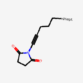 CCCCCCCCCCC#CN1C(=O)CCC1=O